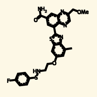 COCc1cnc2c(-c3nc4c(C)cc(OCCNSc5ccc(F)cc5)cc4s3)cc(C(N)=O)cc2n1